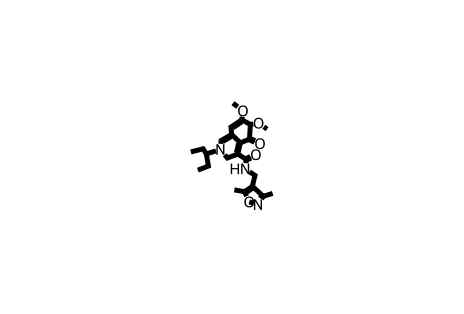 CCC(CC)N1C=C2C=C(OC)C(OC)C(=O)C2=C(C(=O)NCc2c(C)noc2C)C1